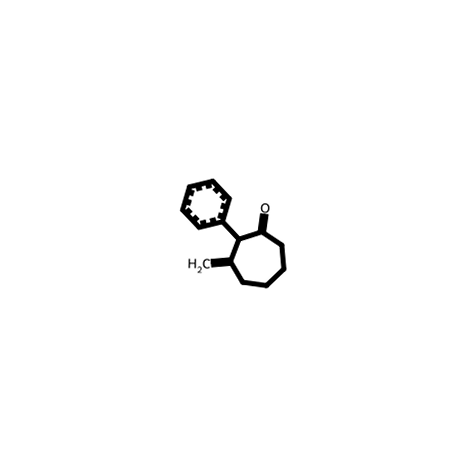 C=C1CCCCC(=O)C1c1ccccc1